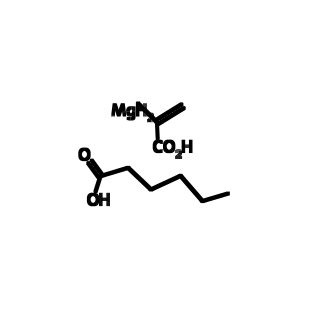 C=C(C)C(=O)O.CCCCCC(=O)O.[MgH2]